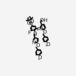 COc1ccc(COc2ccc(CO)cn2)cc1.COc1ccc(COc2ccc(COc3c(F)cc(B4OC(C)(C)C(C)(C)O4)cc3F)cn2)cc1